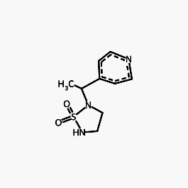 CC(c1ccncc1)N1CCNS1(=O)=O